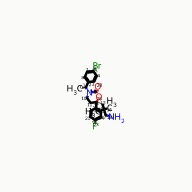 C[C@@H](c1ccc(Br)cc1)N1CC[C@](CC(C)(C)CN)(c2ccc(F)cc2)OC1=O